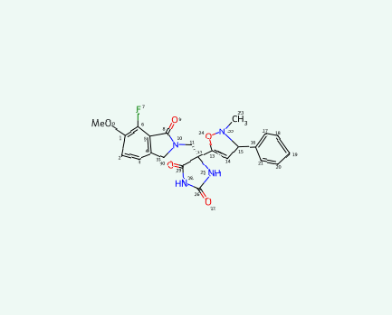 COc1ccc2c(c1F)C(=O)N(C[C@]1(C3=CC(c4ccccc4)N(C)O3)NC(=O)NC1=O)C2